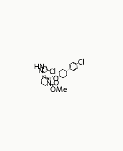 COC(=O)N1CCC[C@H](c2n[nH]cc2Cl)[C@@H]1CO[C@H]1CC[C@@H](c2ccc(Cl)cc2)CC1